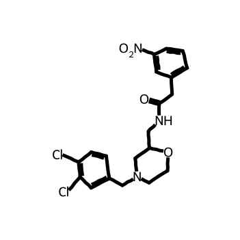 O=C(Cc1cccc([N+](=O)[O-])c1)NCC1CN(Cc2ccc(Cl)c(Cl)c2)CCO1